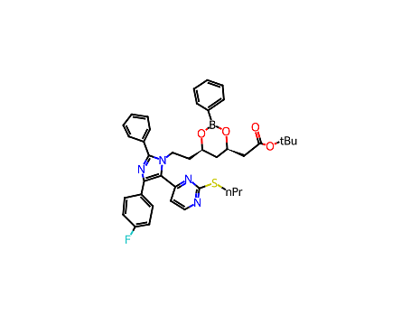 CCCSc1nccc(-c2c(-c3ccc(F)cc3)nc(-c3ccccc3)n2CC[C@@H]2C[C@H](CC(=O)OC(C)(C)C)OB(c3ccccc3)O2)n1